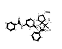 CC[C@H]1O[C@@H](n2ccc(NC(=O)c3ccccc3)nc2=O)C(OC(=O)c2ccccc2)(C(F)(F)F)[C@H]1C